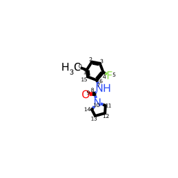 Cc1ccc(F)c(NC(=O)N2CCCC2)c1